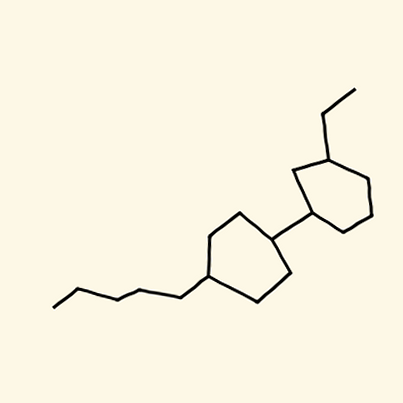 CCCCCC1CCC(C2CCCC(CC)C2)CC1